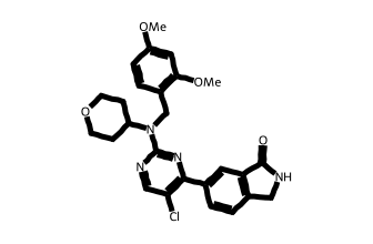 COc1ccc(CN(c2ncc(Cl)c(-c3ccc4c(c3)C(=O)NC4)n2)C2CCOCC2)c(OC)c1